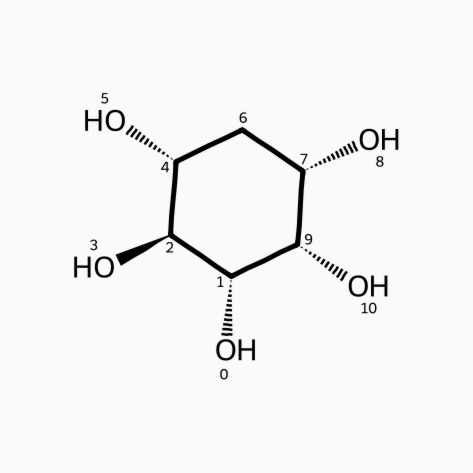 O[C@@H]1[C@@H](O)[C@H](O)C[C@H](O)[C@@H]1O